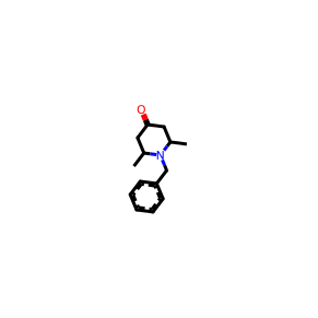 CC1CC(=O)CC(C)N1Cc1ccccc1